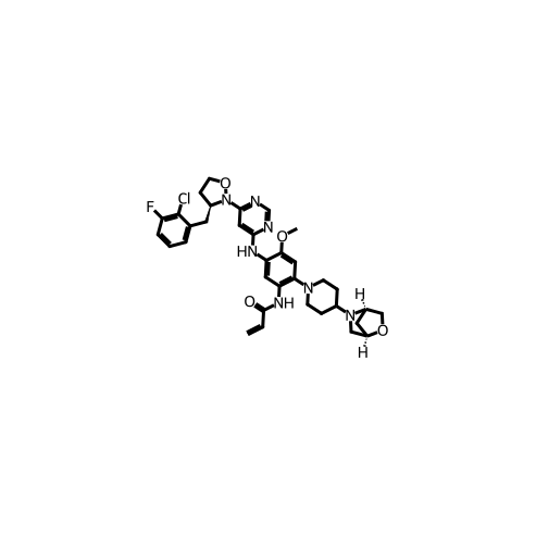 C=CC(=O)Nc1cc(Nc2cc(N3OCC[C@@H]3Cc3cccc(F)c3Cl)ncn2)c(OC)cc1N1CCC(N2C[C@H]3C[C@@H]2CO3)CC1